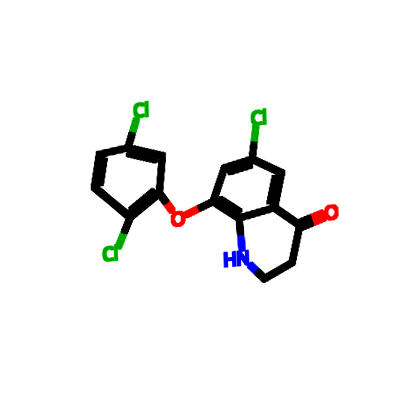 O=C1CCNc2c(Oc3cc(Cl)ccc3Cl)cc(Cl)cc21